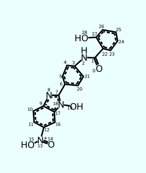 O=C(Nc1ccc(-c2nc3ccc([N+](=O)O)cc3n2O)cc1)c1ccccc1O